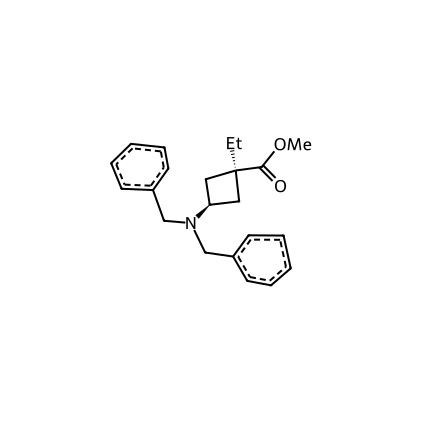 CC[C@]1(C(=O)OC)C[C@@H](N(Cc2ccccc2)Cc2ccccc2)C1